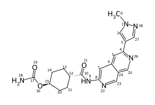 Cn1cc(-c2cc3cc(NC(=O)[C@H]4CC[C@H](OC(N)=O)CC4)ncc3cn2)cn1